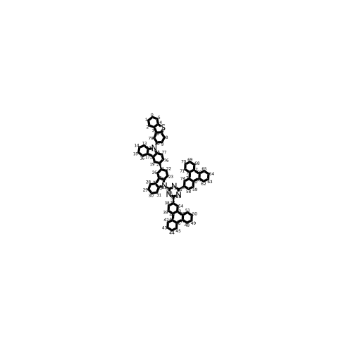 c1ccc2c(c1)sc1ccc(-n3c4ccccc4c4cc(-c5ccc6c(c5)c5ccccc5n6-c5nc(-c6ccc7c8ccccc8c8ccccc8c7c6)nc(-c6ccc7c8ccccc8c8ccccc8c7c6)n5)ccc43)cc12